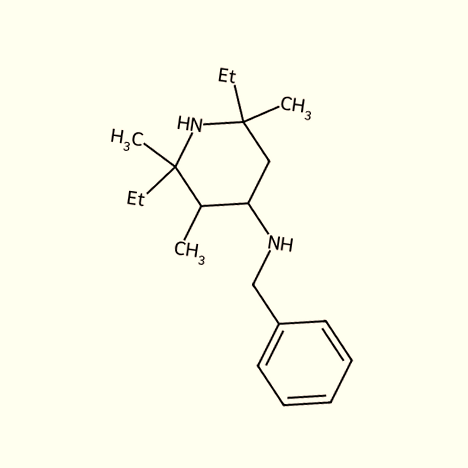 CCC1(C)CC(NCc2ccccc2)C(C)C(C)(CC)N1